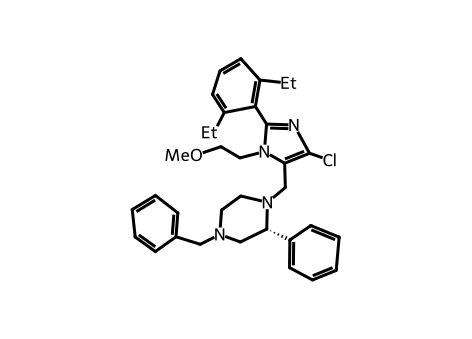 CCc1cccc(CC)c1-c1nc(Cl)c(CN2CCN(Cc3ccccc3)C[C@H]2c2ccccc2)n1CCOC